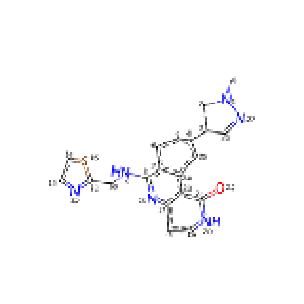 CN1CC(c2ccc3c(NCc4nccs4)nc4cc[nH]c(=O)c4c3c2)C=N1